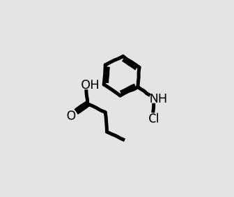 CCCC(=O)O.ClNc1ccccc1